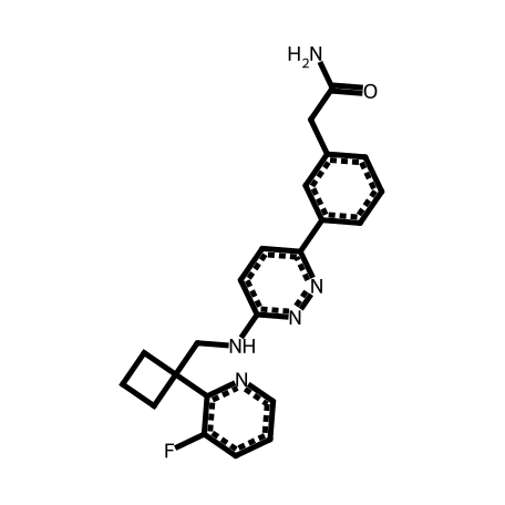 NC(=O)Cc1cccc(-c2ccc(NCC3(c4ncccc4F)CCC3)nn2)c1